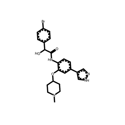 CN1CCC(Oc2cc(-c3cn[nH]c3)ccc2NC(=O)C(O)c2ccc(Br)cc2)CC1